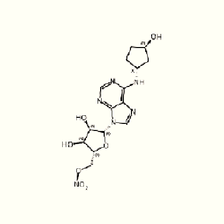 O=[N+]([O-])OC[C@H]1O[C@@H](n2cnc3c(N[C@@H]4CC[C@@H](O)C4)ncnc32)[C@H](O)[C@@H]1O